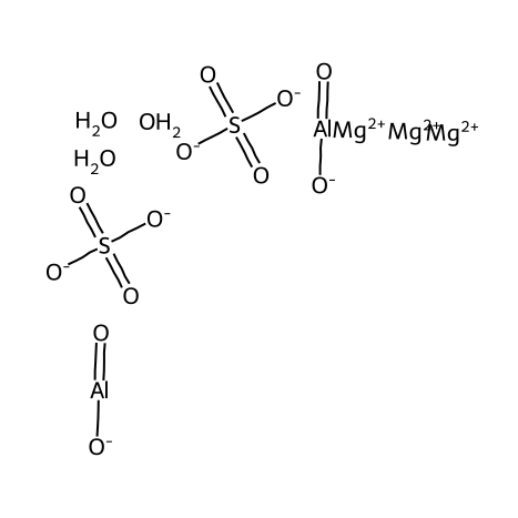 O.O.O.O=S(=O)([O-])[O-].O=S(=O)([O-])[O-].[Mg+2].[Mg+2].[Mg+2].[O]=[Al][O-].[O]=[Al][O-]